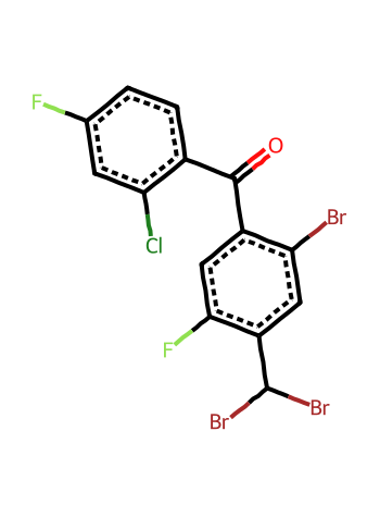 O=C(c1ccc(F)cc1Cl)c1cc(F)c(C(Br)Br)cc1Br